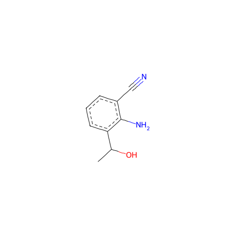 CC(O)c1cccc(C#N)c1N